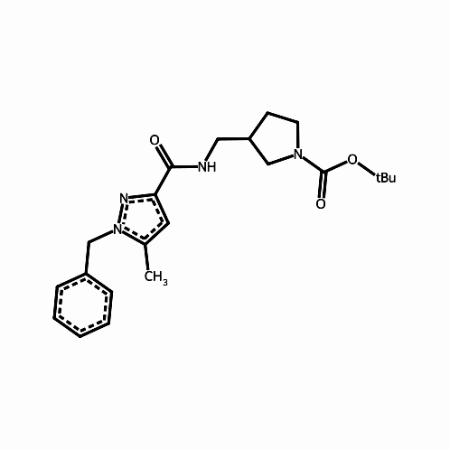 Cc1cc(C(=O)NCC2CCN(C(=O)OC(C)(C)C)C2)nn1Cc1ccccc1